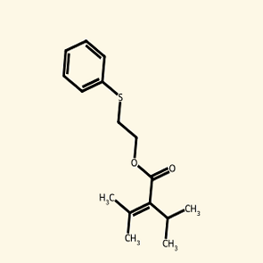 CC(C)=C(C(=O)OCCSc1ccccc1)C(C)C